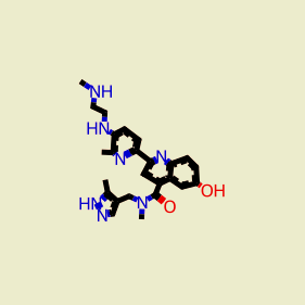 CNCCNc1ccc(-c2cc(C(=O)N(C)Cc3cn[nH]c3C)c3cc(O)ccc3n2)nc1C